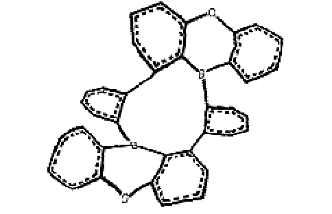 c1ccc2c(c1)Oc1cccc3c1B2c1ccccc1-c1cccc2c1B(c1ccccc1O2)c1ccccc1-3